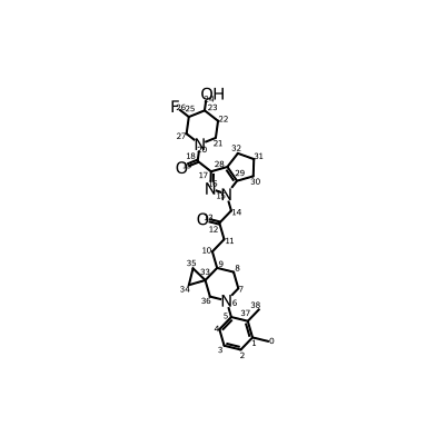 Cc1cccc(N2CCC(CCC(=O)Cn3nc(C(=O)N4CCC(O)C(F)C4)c4c3CCC4)C3(CC3)C2)c1C